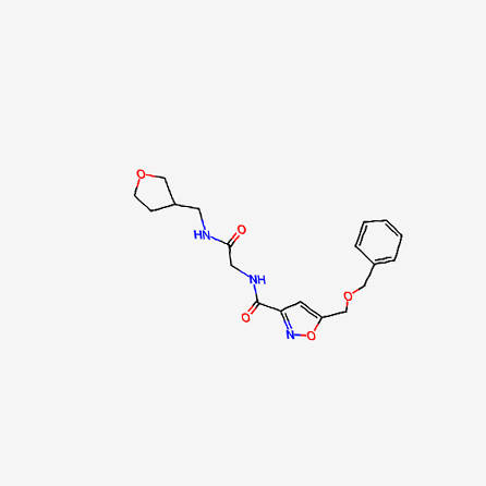 O=C(CNC(=O)c1cc(COCc2ccccc2)on1)NCC1CCOC1